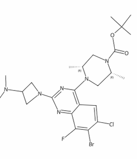 C[C@@H]1CN(c2nc(N3CC(N(C)C)C3)nc3c(F)c(Br)c(Cl)cc23)[C@H](C)CN1C(=O)OC(C)(C)C